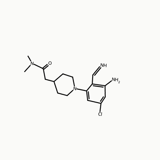 CN(C)C(=O)CC1CCN(c2cc(Cl)cc(N)c2C=N)CC1